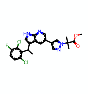 COC(=O)C(C)(C)n1cc(-c2cnc3[nH]cc(C(C)c4c(Cl)ccc(F)c4Cl)c3c2)cn1